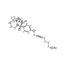 CC(=O)OCCCCC#CCOc1ccc(S(=O)(=O)N2CCSC(C)(C)[C@@]2(C(=O)O)C(C)(C)C)cc1